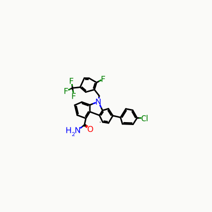 NC(=O)c1cccc2c1c1[c]cc(-c3ccc(Cl)cc3)cc1n2Cc1cc(C(F)(F)F)ccc1F